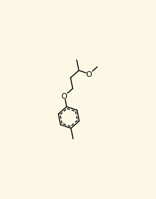 COC(C)CCOc1ccc(C)cc1